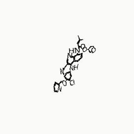 CC(C)=CC(=O)Nc1c(OC2CCOC2)ccc2c(Nc3ccc(OCc4ccccn4)c(Cl)c3)c(C#N)cnc12